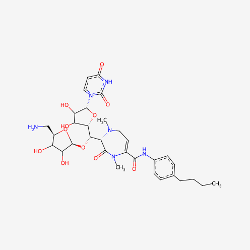 CCCCc1ccc(NC(=O)C2=CCN(C)[C@@H]([C@H](O[C@@H]3O[C@H](CN)C(O)C3O)[C@H]3O[C@@H](n4ccc(=O)[nH]c4=O)C(O)C3O)C(=O)N2C)cc1